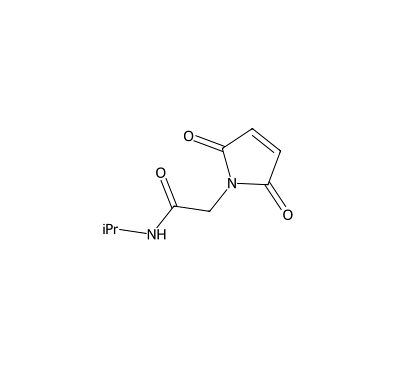 CC(C)NC(=O)CN1C(=O)C=CC1=O